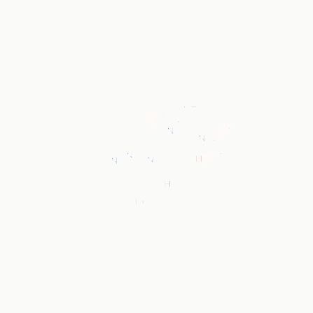 CC(C)c1cc(C2=CCCC2)nn2cc(C(=O)N3CCN(C(=O)C4(O)CCC4)CC3(C)C)nc12